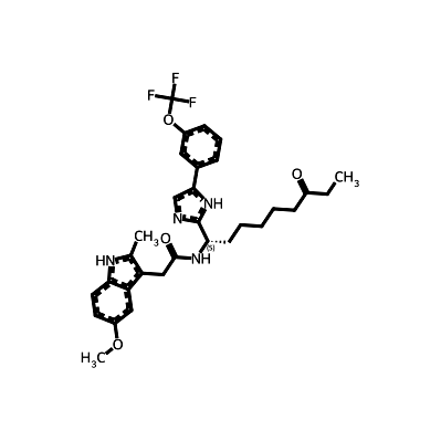 CCC(=O)CCCCC[C@H](NC(=O)Cc1c(C)[nH]c2ccc(OC)cc12)c1ncc(-c2cccc(OC(F)(F)F)c2)[nH]1